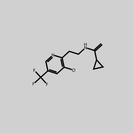 C=C(NCCc1ncc(C(F)(F)F)cc1Cl)C1CC1